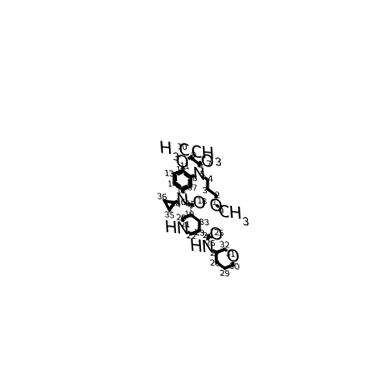 COCCCN1C(=O)C(C)(C)Oc2ccc(N(C(=O)[C@H]3CNC[C@@H](C(=O)NC4CCCOC4)C3)C3CC3)cc21